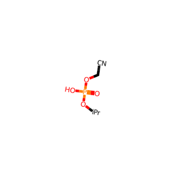 CC(C)OP(=O)(O)OCC#N